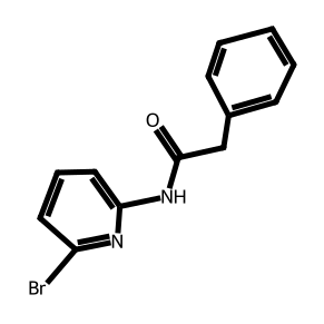 O=C(Cc1ccccc1)Nc1cccc(Br)n1